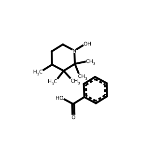 CC1CCN(O)C(C)(C)C1(C)C.O=C(O)c1ccccc1